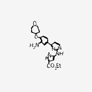 CCOC(=O)c1cc(Nc2nccc(-c3ccc(OC4CCOCC4)c(N)c3)n2)n(C)n1